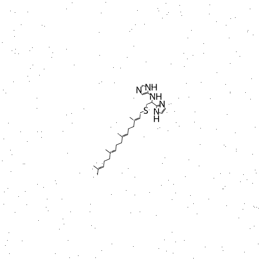 CC(C)=CCC/C(C)=C/CC/C(C)=C/CC/C(C)=C/CSCC(Nc1cnc[nH]1)c1ncc[nH]1